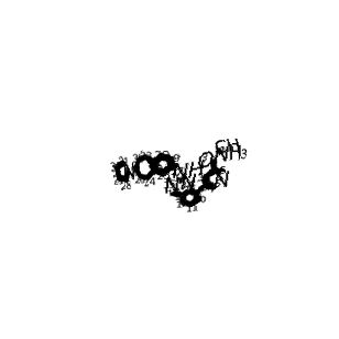 CNC(=O)c1cncc(-c2cccc3cnc(Nc4ccc5c(c4)CCC(N4CCCC4)CC5)nc23)c1